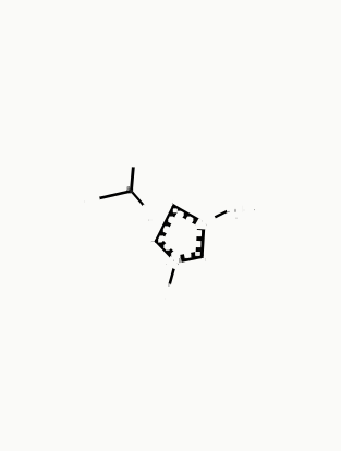 CCCCCC[n+]1ccn(CC)c1.FC(F)F